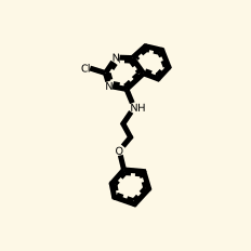 Clc1nc(NCCOc2ccccc2)c2ccccc2n1